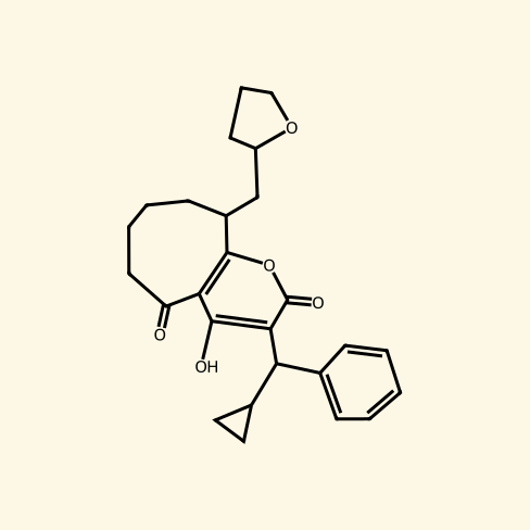 O=C1CCCCC(CC2CCCO2)c2oc(=O)c(C(c3ccccc3)C3CC3)c(O)c21